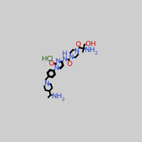 CC(N)C1CCN(Cc2ccc(-n3ccc(NC(=O)N4CCN(C(=O)C(C)(N)CO)CC4)nc3=O)cc2)CC1.Cl